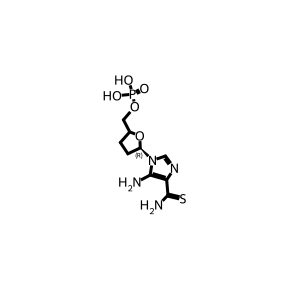 NC(=S)c1ncn([C@H]2CCC(COP(=O)(O)O)O2)c1N